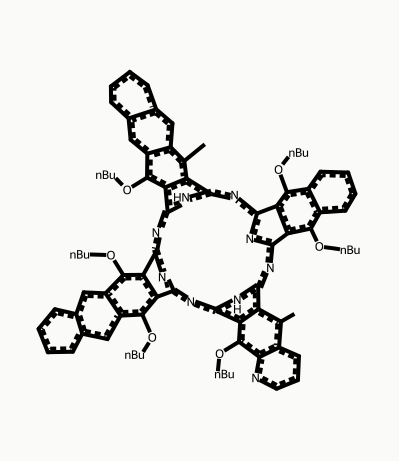 CCCCOc1c2c(c(OCCCC)c3ccccc13)-c1nc-2nc2[nH]c(nc3nc(nc4[nH]c(n1)c1c(C)c5cccnc5c(OCCCC)c41)-c1c-3c(OCCCC)c3cc4ccccc4cc3c1OCCCC)c1c(OCCCC)c3cc4ccccc4cc3c(C)c21